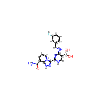 NC(=O)c1cccn2c(-c3ncc(B(O)O)c(NCc4cccc(F)c4)n3)nnc12